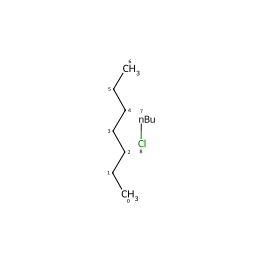 CCCCCCC.CCCCCl